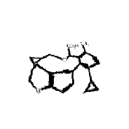 Cc1ccc(C2CC2)c(-c2ccc3c(c2)CCCO3)c1C(OCC1CC1)C(=O)O